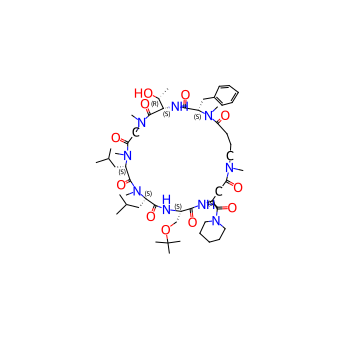 CC(C)C[C@H]1C(=O)N(C)[C@@H](CC(C)C)C(=O)N[C@@H](COC(C)(C)C)C(=O)N[C@H](C(=O)N2CCCCC2)CC(=O)N(C)CCCC(=O)N(C)[C@@H](Cc2ccccc2)C(=O)N[C@@H]([C@@H](C)O)C(=O)N(C)CC(=O)N1C